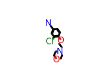 N#Cc1ccc(OCCN2CCOCC2)c(Cl)c1